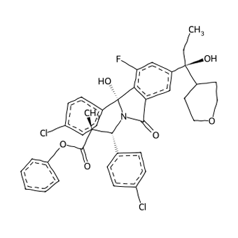 CC[C@@](O)(c1cc(F)c2c(c1)C(=O)N([C@H](c1ccc(Cl)cc1)[C@H](C)C(=O)Oc1ccccc1)[C@@]2(O)c1ccc(Cl)cc1)C1CCOCC1